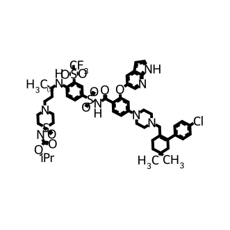 CC(C)OC(=O)N=S1(=O)CCN(CC[C@H](C)Nc2ccc(S(=O)(=O)NC(=O)c3ccc(N4CCN(CC5=C(c6ccc(Cl)cc6)CC(C)(C)CC5)CC4)cc3Oc3cnc4[nH]ccc4c3)cc2S(=O)(=O)C(F)(F)F)CC1